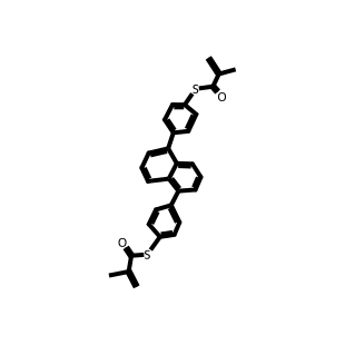 C=C(C)C(=O)Sc1ccc(-c2cccc3c(-c4ccc(SC(=O)C(=C)C)cc4)cccc23)cc1